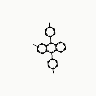 Brc1ccc(-c2c3ccccc3c(-c3ccc(Br)cc3)c3cc(Br)ccc23)cc1